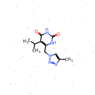 Cc1cn(Cc2[nH]c(=O)[nH]c(=O)c2C(C)C)nn1